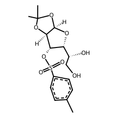 Cc1ccc(S(=O)(=O)O[C@@H]2[C@H]3OC(C)(C)O[C@H]3O[C@@H]2[C@H](O)CO)cc1